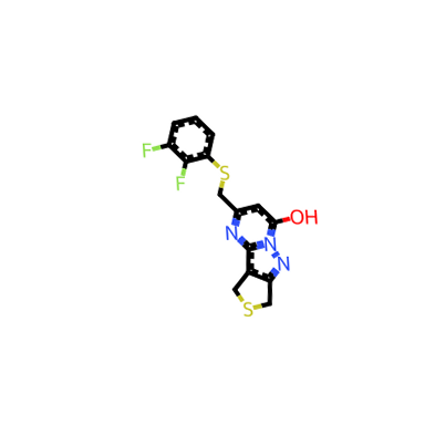 Oc1cc(CSc2cccc(F)c2F)nc2c3c(nn12)CSC3